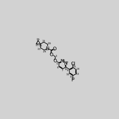 O=C(OCOc1ccc(-c2cc(F)ccc2Cl)nn1)N1CCC2(CC1)CC2